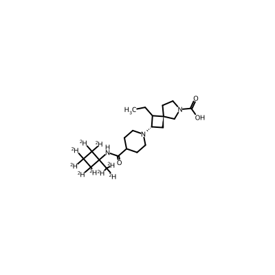 [2H]C([2H])([2H])C1(NC(=O)C2CCN([C@H]3C[C@]4(CCN(C(=O)O)C4)C3CC)CC2)C([2H])([2H])C([2H])([2H])C1([2H])[2H]